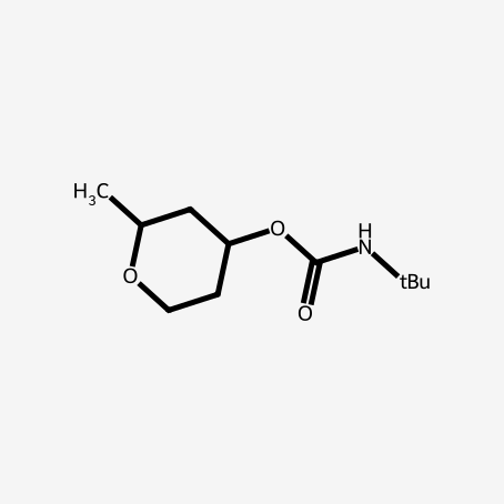 CC1CC(OC(=O)NC(C)(C)C)CCO1